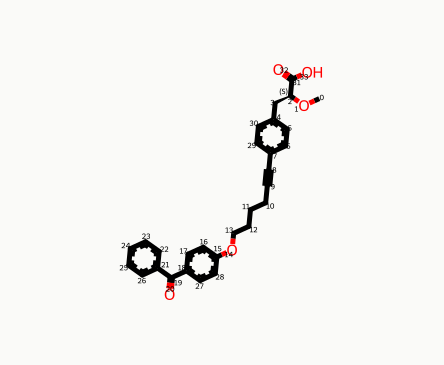 CO[C@@H](Cc1ccc(C#CCCCCOc2ccc(C(=O)c3ccccc3)cc2)cc1)C(=O)O